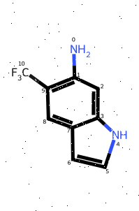 Nc1cc2[nH]ccc2cc1C(F)(F)F